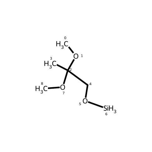 COC(C)(CO[SiH3])OC